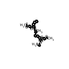 C=CC(=O)N1CCN(c2nc(OCC3CCCN3C)nc3c2CCC2(CCc4c(cccc4C4CC(COc5nc6c(c(N7CCN(C(=O)C(=C)F)CC7C)n5)CCC5(CCc7ccccc7C5)C6)N(C)C4)C2)C3)C(C)C1